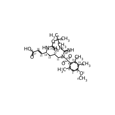 COc1cc(C)c(S(=O)(=O)N(CCC[C@@H](/C=C/C(=O)O)NC(=O)OC(C)(C)C)C(=N)N)c(C)c1C